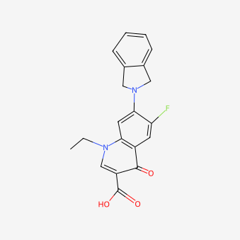 CCn1cc(C(=O)O)c(=O)c2cc(F)c(N3Cc4ccccc4C3)cc21